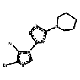 Brc1ncn(-c2csc(N3CCCCC3)n2)c1Br